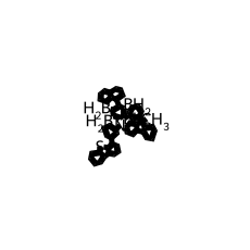 Bc1c(B)c(N(c2cccc(-c3cccc4c3sc3ccccc34)c2)c2ccc3c(c2)C(C)(c2ccccc2)c2ccccc2-3)c(B)c(B)c1-c1cccc2ccccc12